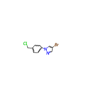 ClCc1ccc(-n2cc(Br)cn2)cc1